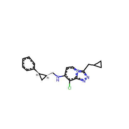 Clc1c(NC[C@@H]2C[C@H]2c2ccccc2)ccn2c(CC3CC3)nnc12